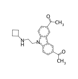 CC(=O)c1ccc2c(c1)c1cc(C(C)=O)ccc1n2CCNC1CCC1